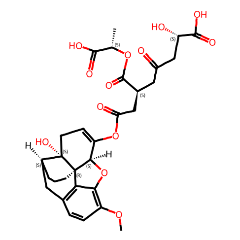 COc1ccc2c3c1O[C@@H]1C(OC(=O)C[C@H](CC(=O)C[C@H](O)C(=O)O)C(=O)O[C@@H](C)C(=O)O)=CC[C@]4(O)[C@@H](CCC[C@@]314)C2